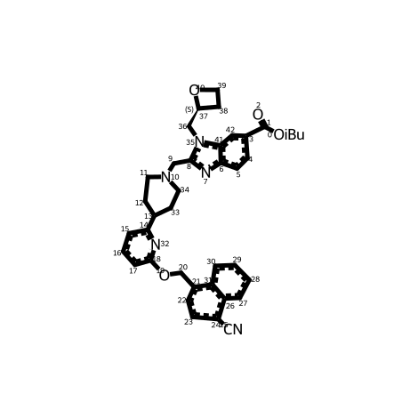 CC(C)COC(=O)c1ccc2nc(CN3CCC(c4cccc(OCc5ccc(C#N)c6ccccc56)n4)CC3)n(C[C@@H]3CCO3)c2c1